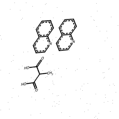 CC(C(=O)O)C(=O)O.c1ccc2ncccc2c1.c1ccc2ncccc2c1